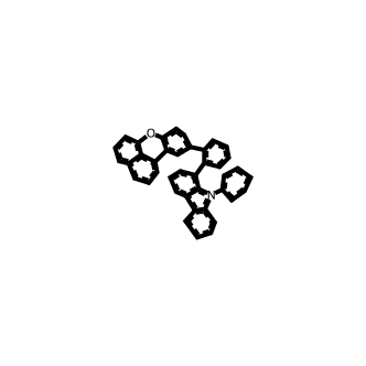 c1ccc(-n2c3ccccc3c3cccc(-c4ccccc4-c4ccc5c(c4)-c4cccc6cccc(c46)O5)c32)cc1